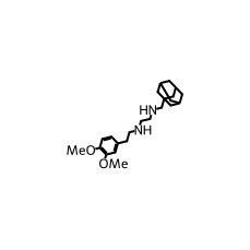 COc1ccc(CCNCCNCC23CC4CC(CC(C4)C2)C3)cc1OC